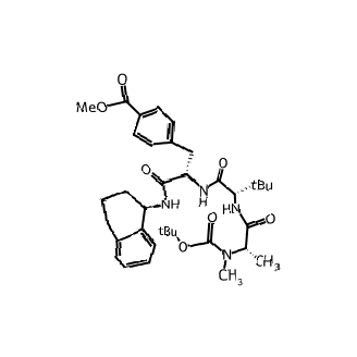 COC(=O)c1ccc(C[C@H](NC(=O)[C@@H](NC(=O)[C@H](C)N(C)C(=O)OC(C)(C)C)C(C)(C)C)C(=O)N[C@@H]2CCCc3ccccc32)cc1